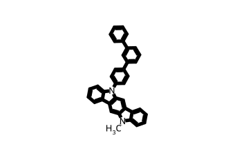 Cn1c2ccccc2c2cc3c(cc21)c1ccccc1n3-c1ccc(-c2cccc(-c3ccccc3)c2)cc1